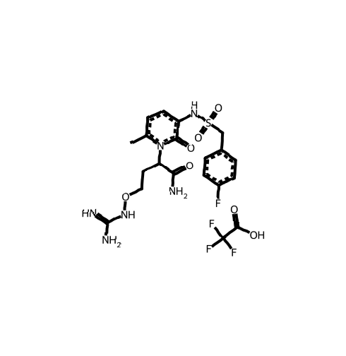 Cc1ccc(NS(=O)(=O)Cc2ccc(F)cc2)c(=O)n1C(CCONC(=N)N)C(N)=O.O=C(O)C(F)(F)F